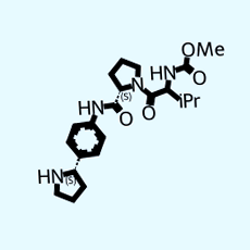 COC(=O)NC(C(=O)N1CCC[C@H]1C(=O)Nc1ccc([C@@H]2CCCN2)cc1)C(C)C